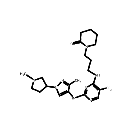 Cc1nn(C2CCN(C)C2)cc1Nc1ncc(C(F)(F)F)c(NCCCN2CCCCC2=O)n1